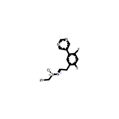 CC(C)C[S@@+]([O-])/N=C/Cc1cc(-c2cncnc2)c(F)cc1F